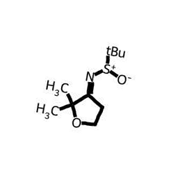 CC1(C)OCC/C1=N\[S+]([O-])C(C)(C)C